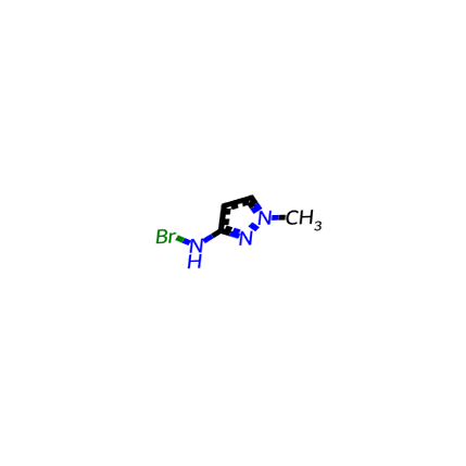 Cn1ccc(NBr)n1